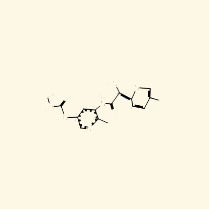 Cc1ncc(NC(=O)OC(C)(C)C)cc1NC(=O)/C(N)=C1\C=CC(Br)=CN1